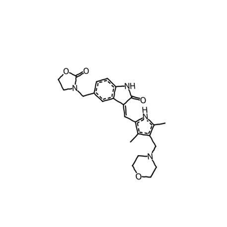 Cc1[nH]c(/C=C2\C(=O)Nc3ccc(CN4CCOC4=O)cc32)c(C)c1CN1CCOCC1